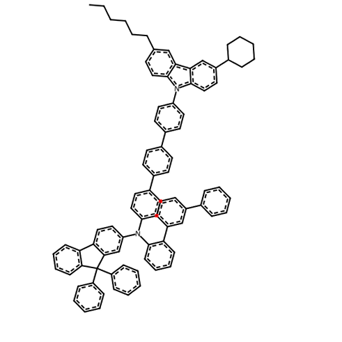 CCCCCCc1ccc2c(c1)c1cc(C3CCCCC3)ccc1n2-c1ccc(-c2ccc(-c3ccc(N(c4ccc5c(c4)C(c4ccccc4)(c4ccccc4)c4ccccc4-5)c4ccccc4-c4cccc(-c5ccccc5)c4)cc3)cc2)cc1